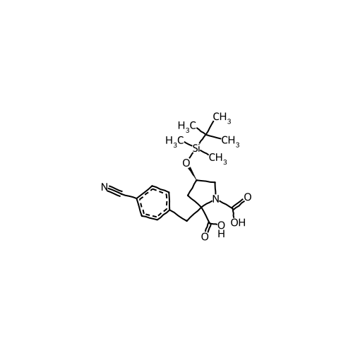 CC(C)(C)[Si](C)(C)O[C@H]1CN(C(=O)O)C(Cc2ccc(C#N)cc2)(C(=O)O)C1